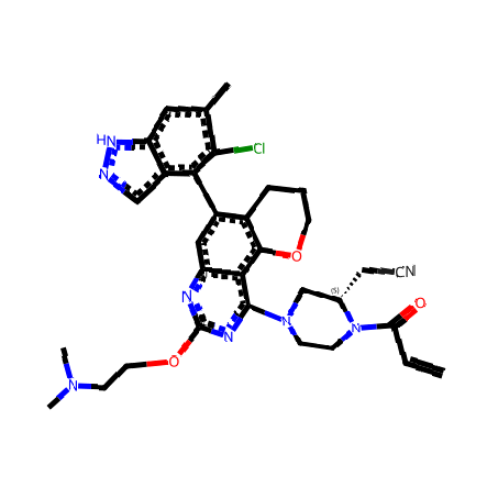 C=CC(=O)N1CCN(c2nc(OCCN(C)C)nc3cc(-c4c(Cl)c(C)cc5[nH]ncc45)c4c(c23)OCCC4)C[C@@H]1CC#N